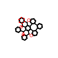 O=C(c1ccccc1)c1c(C(=O)c2ccccc2)c(C(=O)c2ccccc2)c2c(c1C(=O)c1ccccc1)-c1ccccc1-c1ccccc1-c1ccccc1-2